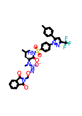 Cc1ccc(-c2cc(C(F)(F)F)nn2-c2ccc(S(=O)(=O)NC(=O)[C@H](CC(C)C)N(C)/[N+]([O-])=N\OCN3C(=O)c4ccccc4C3=O)cc2)cc1